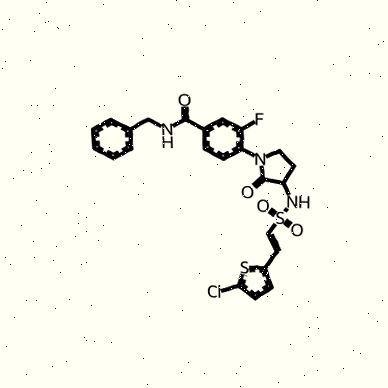 O=C(NCc1ccccc1)c1ccc(N2CCC(NS(=O)(=O)/C=C/c3ccc(Cl)s3)C2=O)c(F)c1